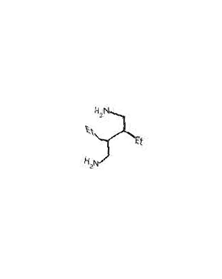 CCC(CN)C(CC)CN